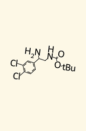 CC(C)(C)OC(=O)NCC(N)c1ccc(Cl)c(Cl)c1